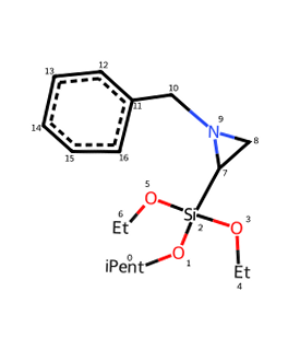 CCCC(C)O[Si](OCC)(OCC)C1CN1Cc1ccccc1